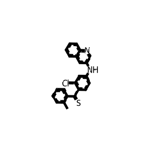 Cc1ccccc1C(=S)c1ccc(Nc2cnc3ccccc3c2)cc1Cl